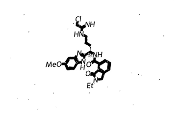 CCN1Cc2cccc(C(=O)N[C@@H](CCCNC(=N)CCl)c3nc4cc(OC)ccc4[nH]3)c2C1=O